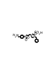 NCc1ccc(N2CC(CN3CCN(Cc4ccccc4)C(OC(=O)O)C3)OC2=O)cc1